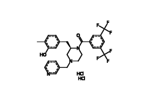 Cc1ccc(C[C@@H]2CN(Cc3cccnc3)CCN2C(=O)c2cc(C(F)(F)F)cc(C(F)(F)F)c2)cc1O.Cl.Cl